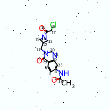 CC(=O)Nc1ccc2c(=O)n(CC3CN(C(=O)CCl)C3)cnc2c1